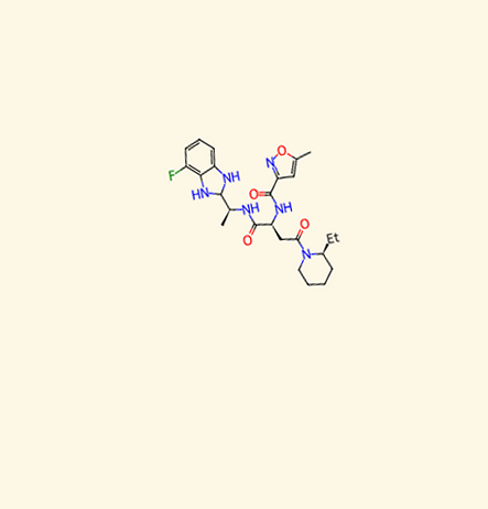 CC[C@H]1CCCCN1C(=O)C[C@H](NC(=O)c1cc(C)on1)C(=O)N[C@@H](C)C1Nc2cccc(F)c2N1